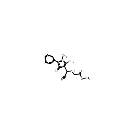 COC(=O)CNC(C#N)c1c(C)n(C)n(-c2ccccc2)c1=O